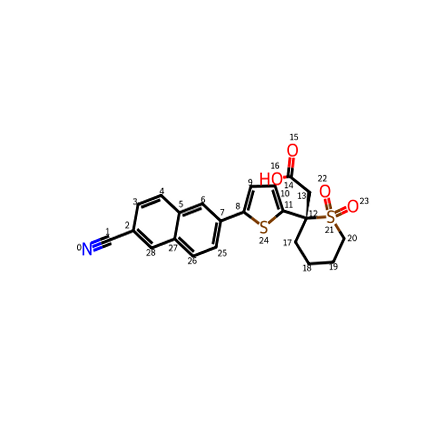 N#Cc1ccc2cc(-c3ccc([C@@]4(CC(=O)O)CCCCS4(=O)=O)s3)ccc2c1